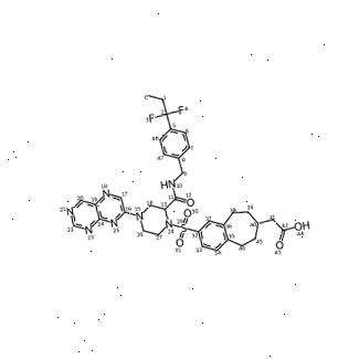 CCC(F)(F)c1ccc(CNC(=O)C2CN(c3cnc4cncnc4n3)CCN2S(=O)(=O)c2ccc3c(c2)CCC(CC(=O)O)CC3)cc1